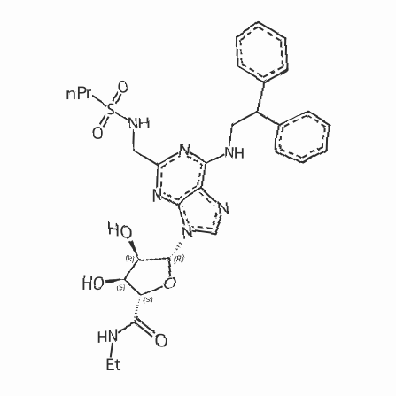 CCCS(=O)(=O)NCc1nc(NCC(c2ccccc2)c2ccccc2)c2ncn([C@@H]3O[C@H](C(=O)NCC)[C@@H](O)[C@H]3O)c2n1